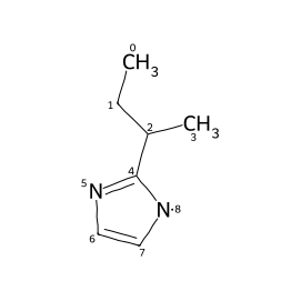 CCC(C)C1=NC=C[N]1